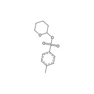 Cc1ccc(S(=O)(=O)OC2CCCCO2)cc1